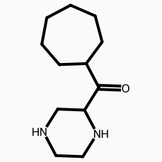 O=C(C1CCCCCC1)C1CNCCN1